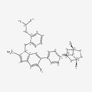 Cc1nc2cc(F)c(-c3cnc(N4C[C@H]5CC[C@@H](C4)C5C(=O)O)nc3)cc2n1Cc1ccccc1OC(F)F